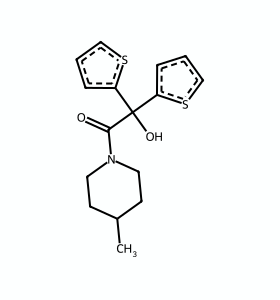 CC1CCN(C(=O)C(O)(c2cccs2)c2cccs2)CC1